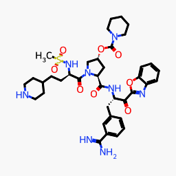 CS(=O)(=O)N[C@H](CCC1CCNCC1)C(=O)N1C[C@H](OC(=O)N2CCCCC2)C[C@H]1C(=O)N[C@@H](Cc1cccc(C(=N)N)c1)C(=O)c1nc2ccccc2o1